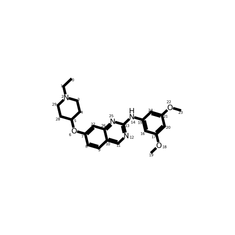 CCN1CCC(Oc2ccc3cnc(Nc4cc(OC)cc(OC)c4)nc3c2)CC1